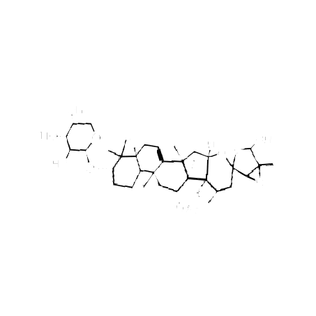 CC(=O)O[C@@H]1C[C@@]23C[C@@]24CC[C@H](O[C@@H]2OC[C@@H](O)[C@@H](O)C2O)C(C)(C)[C@@H]4CC=C3[C@]2(C)C[C@@H]3OC4(C[C@@H](C)[C@@H]3[C@@]12C)OC(O)C1(C)OC41